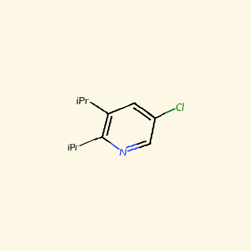 CC(C)c1cc(Cl)cnc1C(C)C